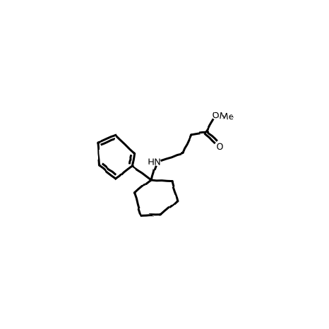 COC(=O)CCNC1(c2ccccc2)CCCCC1